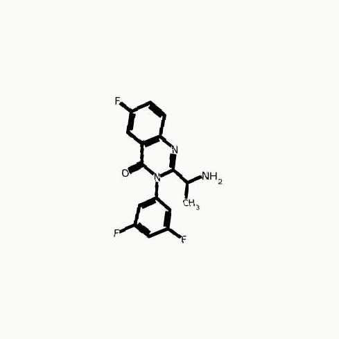 CC(N)c1nc2ccc(F)cc2c(=O)n1-c1cc(F)cc(F)c1